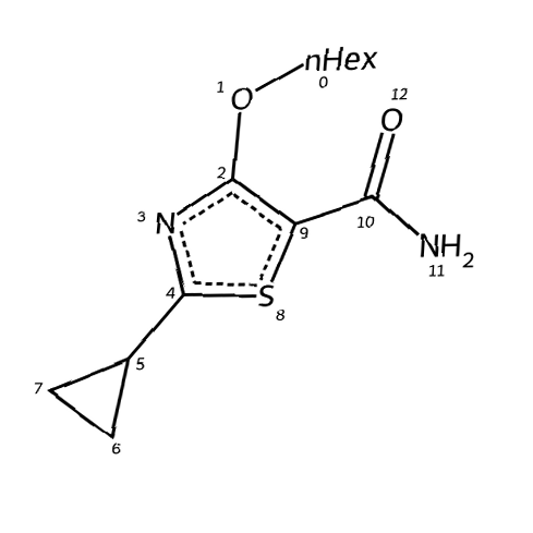 CCCCCCOc1nc(C2CC2)sc1C(N)=O